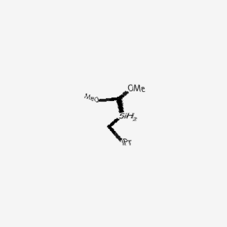 [CH2]C(C)C[SiH2]C(OC)OC